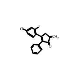 C=C1CC(c2ccc(Cl)cc2F)=C(c2ccccc2)C1=O